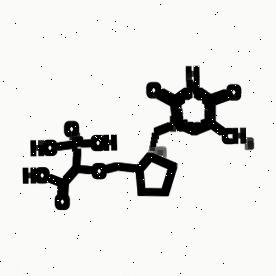 Cc1cn(C[C@@H]2CCCC2COC(C(=O)O)P(=O)(O)O)c(=O)[nH]c1=O